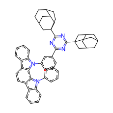 c1ccc(-n2c3ccccc3c3ccc4c5ccccc5n(-c5cccc(-c6nc(C78CC9CC(CC(C9)C7)C8)nc(C78CCC9CCC(CC9C7)C8)n6)c5)c4c32)cc1